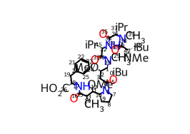 CC[C@H](C)[C@@H]([C@@H](CC(=O)N1CCC[C@H]1[C@H](OC)[C@@H](C)C(=O)N[C@@H](Cc1ccccc1)C(=O)O)OC)N(C)C(=O)[C@@H](NC(=O)[C@H](C(C)C)N(C)C(=O)[C@@H](NC)[C@@H](C)CC)C(C)C